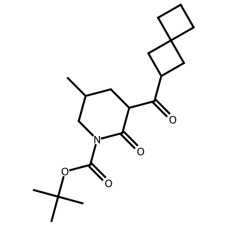 CC1CC(C(=O)C2CC3(CCC3)C2)C(=O)N(C(=O)OC(C)(C)C)C1